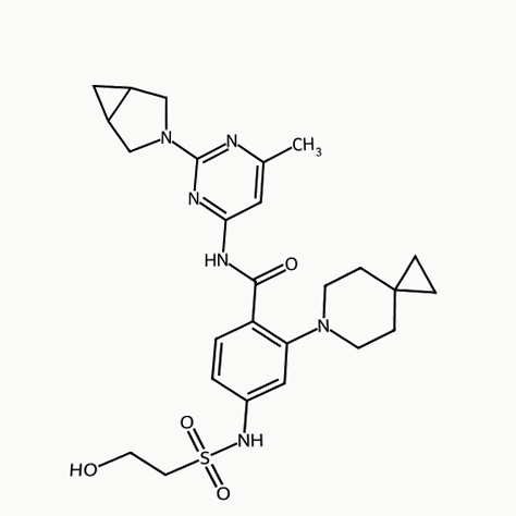 Cc1cc(NC(=O)c2ccc(NS(=O)(=O)CCO)cc2N2CCC3(CC2)CC3)nc(N2CC3CC3C2)n1